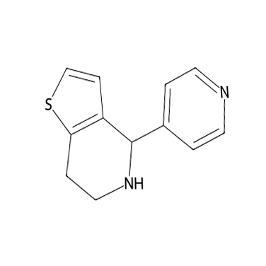 c1cc(C2NCCc3sccc32)ccn1